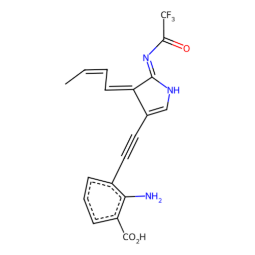 C\C=C/C=C1/C(C#Cc2cccc(C(=O)O)c2N)=CN/C1=N\C(=O)C(F)(F)F